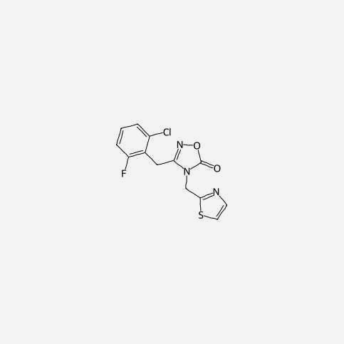 O=c1onc(Cc2c(F)cccc2Cl)n1Cc1nccs1